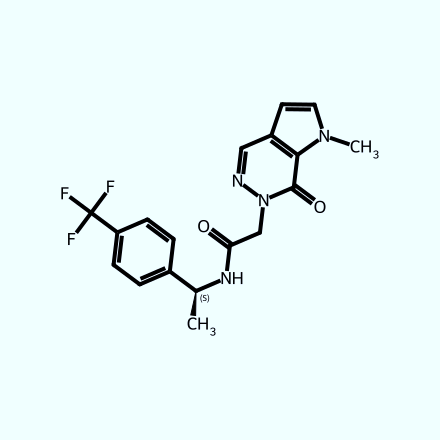 C[C@H](NC(=O)Cn1ncc2ccn(C)c2c1=O)c1ccc(C(F)(F)F)cc1